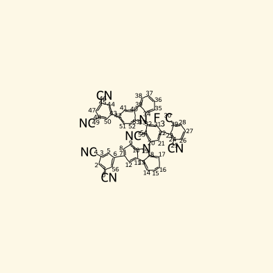 N#Cc1cc(C#N)cc(-c2ccc3c(c2)c2ccccc2n3-c2cc(-c3c(C#N)cccc3C(F)(F)F)cc(-n3c4ccccc4c4cc(-c5cc(C#N)cc(C#N)c5)ccc43)c2C#N)c1